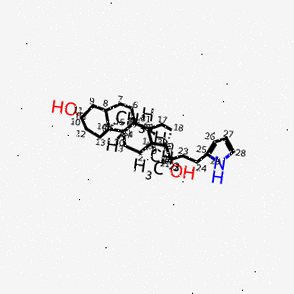 C[C@]12CC[C@H]3[C@@H](CCC4C[C@@H](O)CC[C@@]43C)[C@@H]1CC[C@@H]2[C@](C)(O)CCc1ccc[nH]1